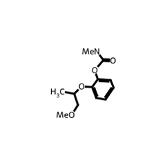 CNC(=O)Oc1ccccc1OC(C)COC